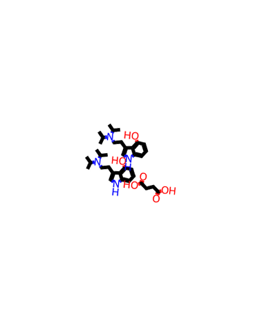 CC(C)N(CCc1c[nH]c2cccc(O)c12)C(C)C.CC(C)N(CCc1c[nH]c2cccc(O)c12)C(C)C.O=C(O)CCC(=O)O